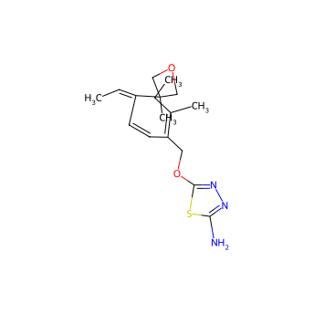 C\C=C(/C=C\C(COc1nnc(N)s1)=C(\C)CC)C1(C)COC1